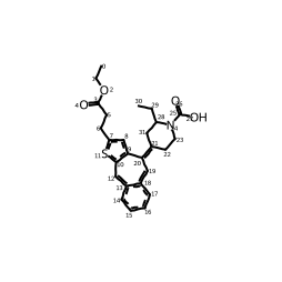 CCOC(=O)CCc1cc2c(s1)C=c1ccccc1=CC2=C1CCN(C(=O)O)C(CC)C1